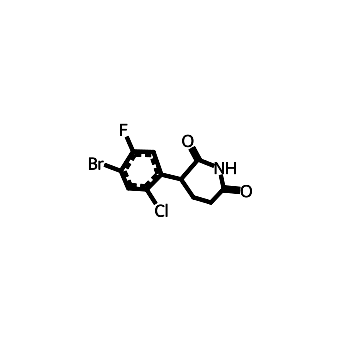 O=C1CCC(c2cc(F)c(Br)cc2Cl)C(=O)N1